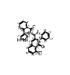 C[C@H](NC(=O)c1cccnc1-c1cn[nH]c1)c1cc2cccc(Cl)c2c(=O)n1-c1ccccc1